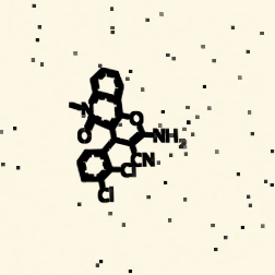 Cn1c(=O)c2c(c3ccccc31)OC(N)=C(C#N)C2c1cccc(Cl)c1Cl